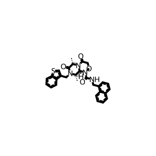 C[C@H]1[C@@H]2N(C(=O)NCc3cccc4ccccc34)OCC(=O)N2[C@@H](C)C(=O)N1Cc1csc2ccccc12